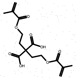 C=C(C)C(=O)OCCC(CCOC(=O)C(=C)C)(C(=O)O)C(=O)O